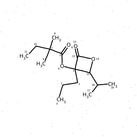 CCCC1(OC(=O)C(C)(C)CC)C(=O)OC1C(C)C